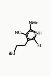 CCc1[nH]c(NC)c(C#N)c1CCC(C)CC